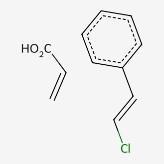 C=CC(=O)O.ClC=Cc1ccccc1